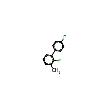 Cc1cccc(-c2ccc(F)cc2)c1F